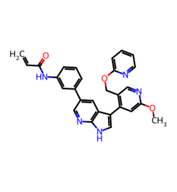 C=CC(=O)Nc1cccc(-c2cnc3[nH]cc(-c4cc(OC)ncc4COc4ccccn4)c3c2)c1